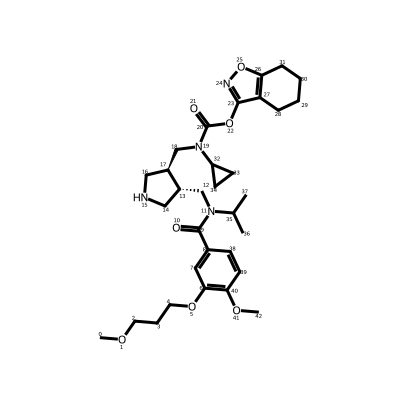 COCCCOc1cc(C(=O)N(C[C@@H]2CNC[C@H]2CN(C(=O)Oc2noc3c2CCCC3)C2CC2)C(C)C)ccc1OC